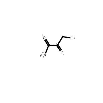 NC(=O)C(=O)CCl